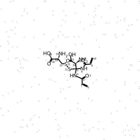 C=CC(=O)NC(NC(=O)C=C)(SSC[C@H](N)C(=O)O)[C@H](N)C(=O)O